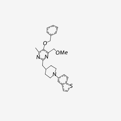 COCc1nc(CC2CCN(c3ccc4sccc4c3)CC2)nc(C)c1OCc1ccccc1